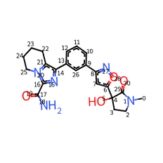 CN1CCC(O)(c2cc(-c3cccc(-c4nc(C(N)=O)n5c4CCCC5)c3)no2)C1=O